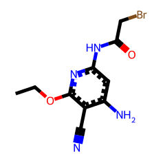 CCOc1nc(NC(=O)CBr)cc(N)c1C#N